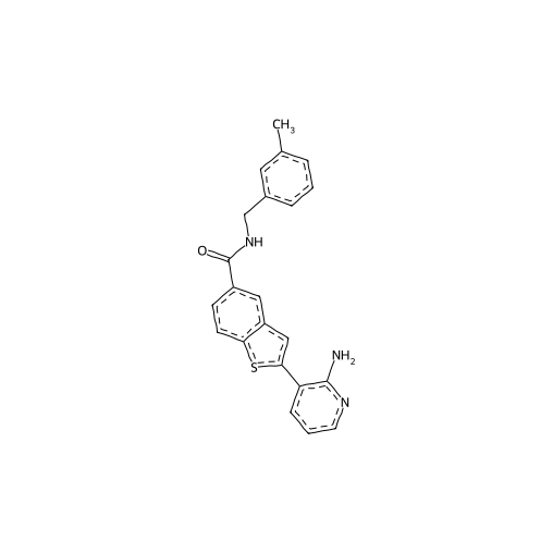 Cc1cccc(CNC(=O)c2ccc3sc(-c4cccnc4N)cc3c2)c1